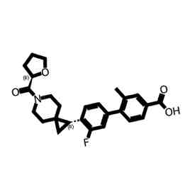 Cc1cc(C(=O)O)ccc1-c1ccc([C@@H]2CC23CCN(C(=O)[C@H]2CCCO2)CC3)c(F)c1